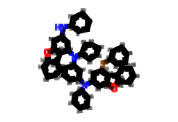 c1ccc(Nc2cc(N(c3ccccc3)c3cccc(N(c4ccccc4)c4cc(Sc5ccccc5)c5c(c4)oc4ccccc45)c3)c3c(c2)oc2ccccc23)cc1